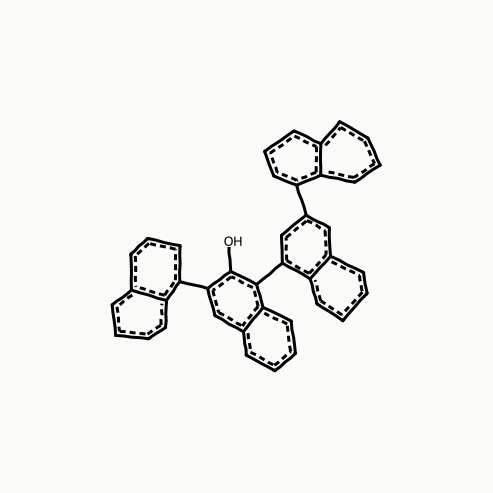 Oc1c(-c2cccc3ccccc23)cc2ccccc2c1-c1cc(-c2cccc3ccccc23)cc2ccccc12